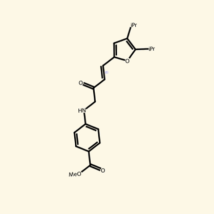 COC(=O)c1ccc(NCC(=O)/C=C/c2cc(C(C)C)c(C(C)C)o2)cc1